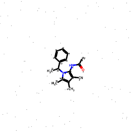 Cc1c(C#N)c(NC(=O)C(C)C)n(C(C)c2ccccc2)c1C